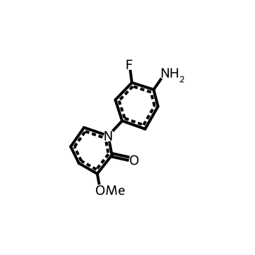 COc1cccn(-c2ccc(N)c(F)c2)c1=O